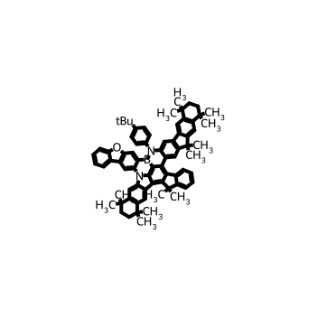 CC(C)(C)c1ccc(N2B3c4cc5oc6ccccc6c5cc4-n4c5cc6c(cc5c5c7c(c(c3c54)-c3cc4c(cc32)-c2cc3c(cc2C4(C)C)C(C)(C)CCC3(C)C)-c2ccccc2C7(C)C)C(C)(C)CCC6(C)C)cc1